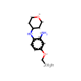 CCOC(=O)COc1ccc(NC2CCOCC2)c(N)c1